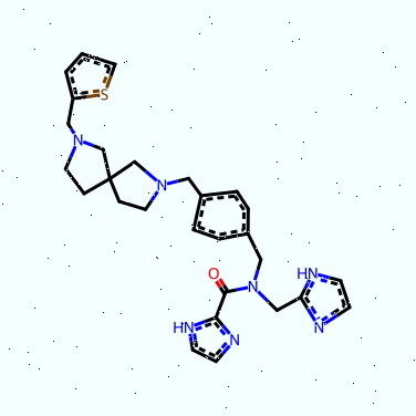 O=C(c1ncc[nH]1)N(Cc1ccc(CN2CCC3(CCN(Cc4cccs4)C3)C2)cc1)Cc1ncc[nH]1